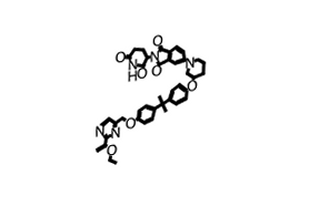 C=C(OCC)c1nccc(COc2ccc(C(C)(C)c3ccc(OC4CCCN(c5ccc6c(c5)C(=O)N(C5CCC(=O)NC5=O)C6=O)C4)cc3)cc2)n1